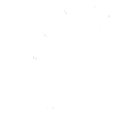 CS(=O)(=O)c1cccc(N2CCN(Cc3ccc(C(F)(F)F)cn3)C(c3ccccc3)C2)c1